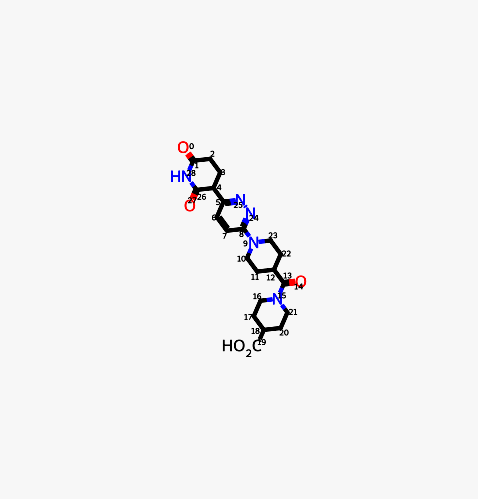 O=C1CCC(c2ccc(N3CCC(C(=O)N4CCC(C(=O)O)CC4)CC3)nn2)C(=O)N1